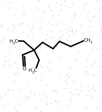 CCCCCC(C=O)(CC)CC